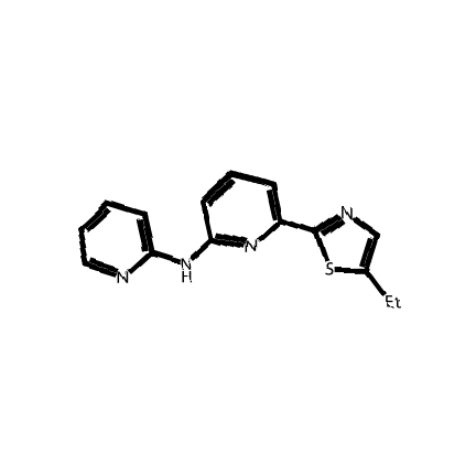 CCc1cnc(-c2cccc(Nc3ccccn3)n2)s1